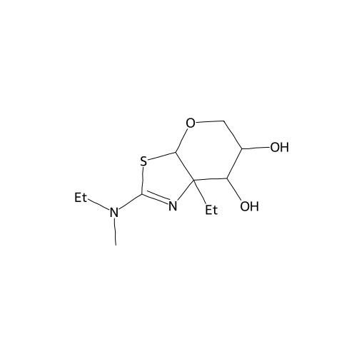 CCN(C)C1=NC2(CC)C(OCC(O)C2O)S1